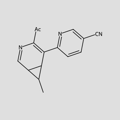 CC(=O)C1=C(c2ccc(C#N)cn2)C2C(C)C2C=N1